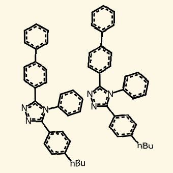 CCCCc1ccc(-c2nnc(-c3ccc(-c4ccccc4)cc3)n2-c2ccccc2)cc1.CCCCc1ccc(-c2nnc(-c3ccc(-c4ccccc4)cc3)n2-c2ccccc2)cc1